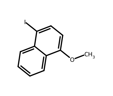 COc1ccc(I)c2ccccc12